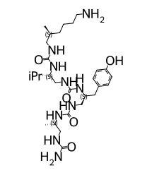 CC(C)[C@@H](CNC(=O)N[C@H](CNC(=O)N[C@@H](C)CNC(N)=O)Cc1ccc(O)cc1)NC(=O)NC[C@@H](C)CCCCN